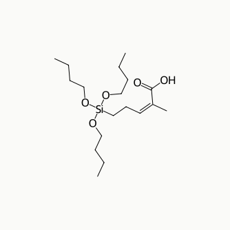 CCCCO[Si](CCC=C(C)C(=O)O)(OCCCC)OCCCC